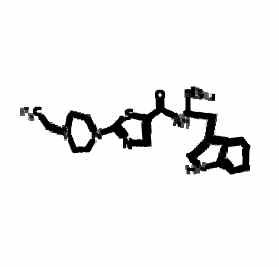 CCCCC(Cc1c[nH]c2ccccc12)NC(=O)c1cnc(N2CCN(CC(F)(F)F)CC2)s1